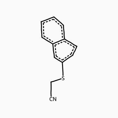 N#CCSc1ccc2ccccc2c1